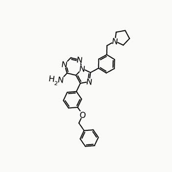 Nc1ncnn2c(-c3cccc(CN4CCCC4)c3)nc(-c3cccc(OCc4ccccc4)c3)c12